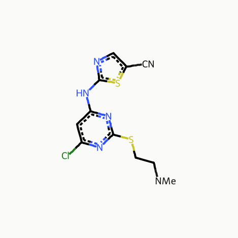 CNCCSc1nc(Cl)cc(Nc2ncc(C#N)s2)n1